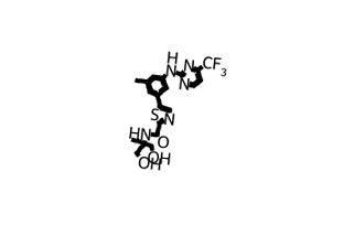 Cc1cc(Nc2nccc(C(F)(F)F)n2)cc(-c2cnc(C(=O)NC(C)(CO)CO)s2)c1